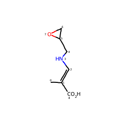 CC(=CNCC1CO1)C(=O)O